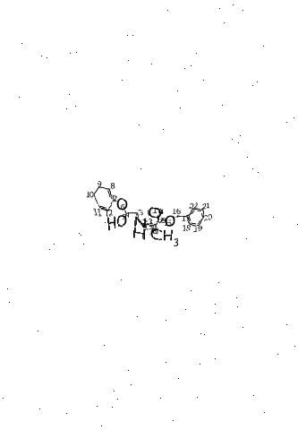 C[C@H](NCC(O)OC1=CCCC=C1)C(=O)OCc1ccccc1